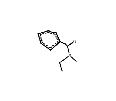 CCN(C)C(Cl)c1ccccc1